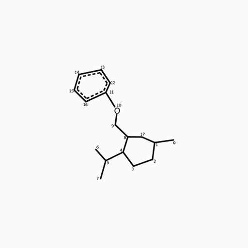 CC1CCC(C(C)C)C(COc2ccccc2)C1